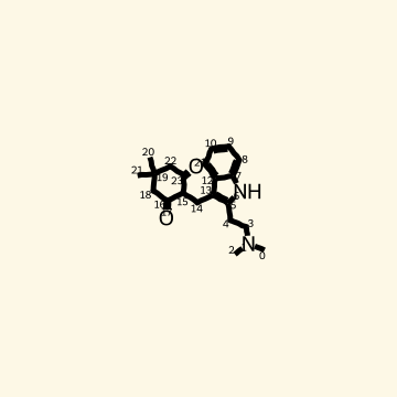 CN(C)CCc1[nH]c2ccccc2c1CC1C(=O)CC(C)(C)CC1=O